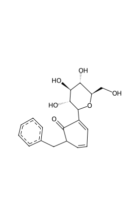 O=C1C(C2O[C@H](CO)[C@@H](O)[C@H](O)[C@H]2O)=CC=CC1Cc1ccccc1